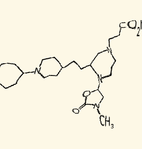 CN1CC(N2CCN(CCC(=O)O)CC2CCC2CCN(C3CCCCC3)CC2)OC1=O